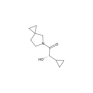 O=C([C@@H](O)C1CC1)N1CCC2(CC2)C1